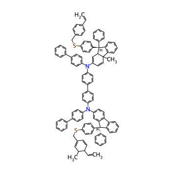 C=Cc1ccc(CSc2ccc([C@@]3(c4ccccc4)c4ccccc4C4(C)C=CC(N(c5ccc(-c6ccccc6)cc5)c5ccc(-c6ccc(N(c7ccc(-c8ccccc8)cc7)c7ccc8c(c7)[C@](c7ccccc7)(c7ccc(SCC9=CC(C)C(C=C)C=C9)cc7)c7ccccc7-8)cc6)cc5)=CC43)cc2)cc1